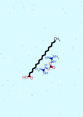 CCCCCCCCCCCCCCCCCC(=O)O.N=C(N)NOC(=O)ONC(=N)N